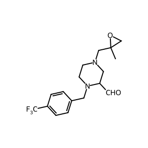 CC1(CN2CCN(Cc3ccc(C(F)(F)F)cc3)C(C=O)C2)CO1